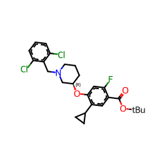 CC(C)(C)OC(=O)c1cc(C2CC2)c(O[C@@H]2CCCN(Cc3c(Cl)cccc3Cl)C2)cc1F